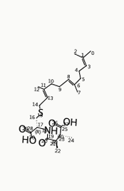 CC(C)=CCCC(C)=CCCC(C)=CCSC[C@H](NC(=O)[C@H](C)[C@@H](C)C(=O)O)C(=O)O